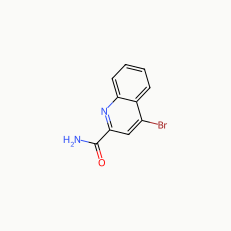 NC(=O)c1cc(Br)c2ccccc2n1